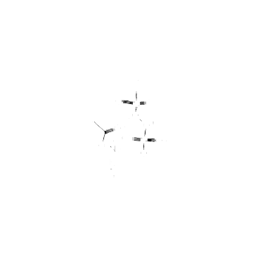 CC(=O)[O-].O=S(=O)([O-])OOS(=O)(=O)[O-].[K+].[K+].[Na+]